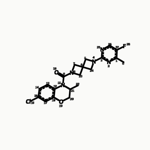 Cc1nc(N2CC3(CN(C(=O)N4c5ccc(Cl)cc5OCC4C)C3)C2)ncc1F